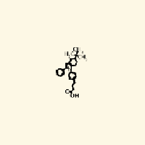 CCC(C)(C)C1CCc2c(cc(-c3ccccc3)n2-c2ccc(CCCC(=O)O)cc2)C1